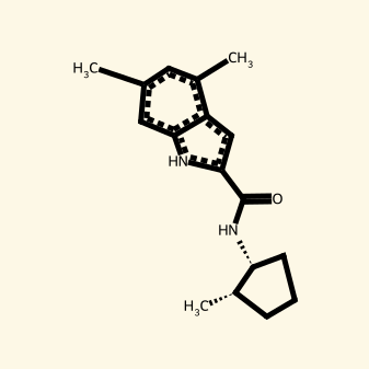 Cc1cc(C)c2cc(C(=O)N[C@@H]3CCC[C@@H]3C)[nH]c2c1